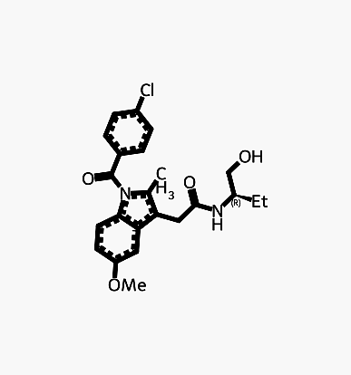 CC[C@H](CO)NC(=O)Cc1c(C)n(C(=O)c2ccc(Cl)cc2)c2ccc(OC)cc12